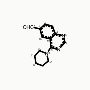 O=Cc1ccc2ncnc(N3CCCCC3)c2c1